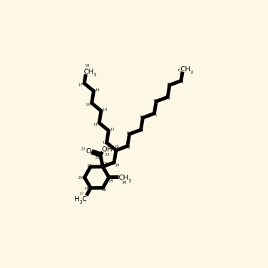 CCCCCCCCCCC(CCCCCCCC)CC1(C(=O)O)CCC(C)CC1C